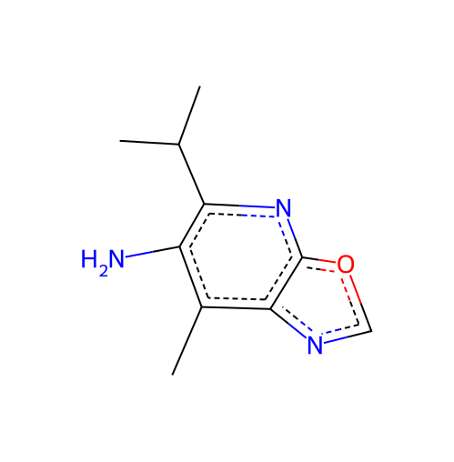 Cc1c(N)c(C(C)C)nc2ocnc12